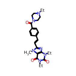 CCN1CCN(C(=O)c2ccc(C=Cc3nc4c(c(=O)n(CC)c(=O)n4CC)n3C)cc2)CC1